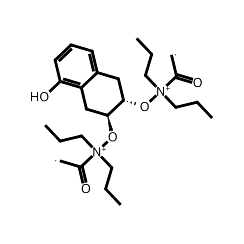 [CH2]C(=O)[N+](CCC)(CCC)O[C@H]1Cc2cccc(O)c2C[C@@H]1O[N+](CCC)(CCC)C([CH2])=O